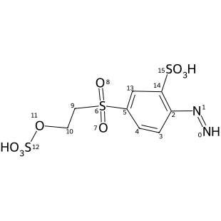 N=Nc1ccc(S(=O)(=O)CCOS(=O)(=O)O)cc1S(=O)(=O)O